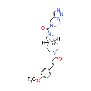 O=C(C=Cc1ccc(OC(F)(F)F)cc1)N1CC[C@@H]2CN(C(=O)N3CCn4nncc4C3)C[C@@H]2CC1